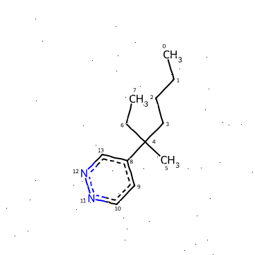 CCCCC(C)(CC)c1ccnnc1